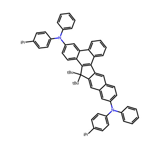 CC(C)c1ccc(N(c2ccccc2)c2ccc3cc4c(cc3c2)C(C(C)(C)C)(C(C)(C)C)c2c-4c3ccccc3c3cc(N(c4ccccc4)c4ccc(C(C)C)cc4)ccc23)cc1